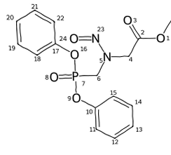 COC(=O)CN(CP(=O)(Oc1ccccc1)Oc1ccccc1)N=O